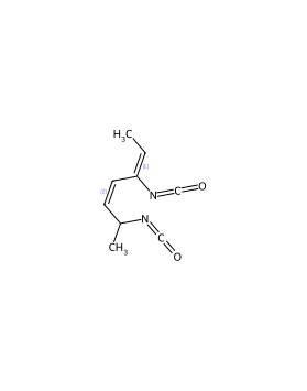 C/C=C(\C=C/C(C)N=C=O)N=C=O